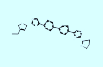 CCC1=C[C@@H](c2ncc(-c3ccc(-c4ccc(-c5cnc([C@@H]6CCCN6)[nH]5)cc4)cc3)[nH]2)NC1